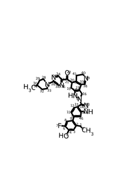 CCc1cc(O)c(F)cc1-c1ccc2c(N3CC4=C(CC(C(=O)c5cnc(N6CCC(C)CC6)cn5)C5=C4C=NCC5)N3)n[nH]c2c1